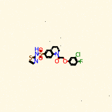 O=C(COc1ccc(F)c(Cl)c1)N1CCCc2cc(S(=O)(=O)Nc3nccs3)ccc21